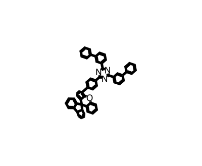 C1=CC2c3ccccc3C3(c4ccccc4Oc4c(-c5ccc(-c6nc(-c7cccc(-c8ccccc8)c7)nc(-c7cccc(-c8ccccc8)c7)n6)cc5)cccc43)C2C=C1